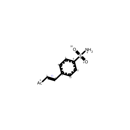 CC(=O)/C=C/c1ccc(S(N)(=O)=O)cc1